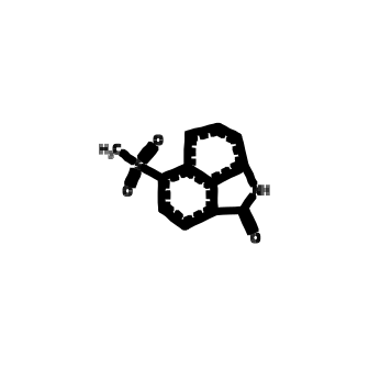 CS(=O)(=O)c1ccc2c3c(cccc13)NC2=O